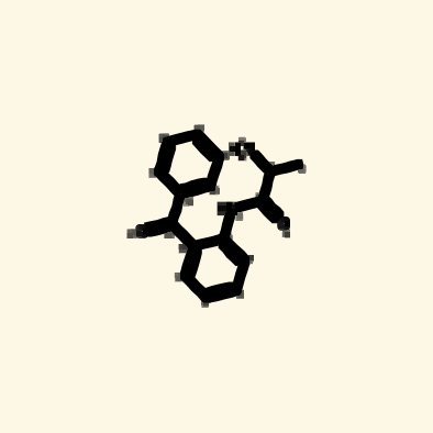 CC(N)C(=O)Nc1ccccc1C(=O)c1ccccc1